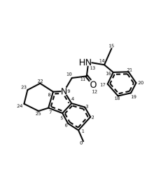 Cc1ccc2c(c1)c1c(n2CC(=O)NC(C)c2ccccc2)CCCC1